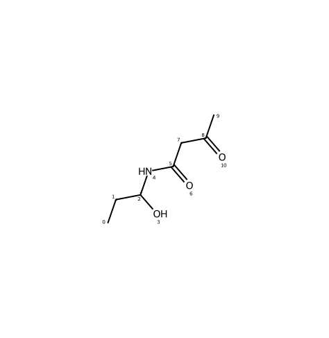 CC[C](O)NC(=O)CC(C)=O